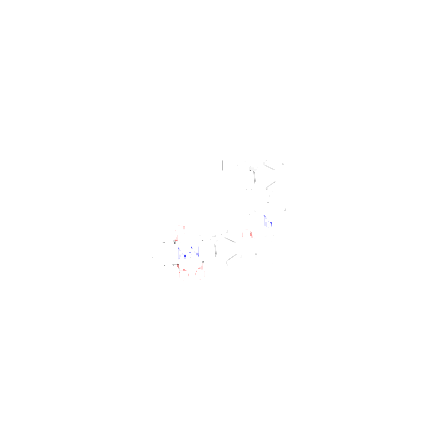 O=C1c2ccc(O[C@@H]3CCCC[C@H]3N3CC(c4cccc(C(F)(F)F)c4)C3)cc2CN1N1C(=O)CCCC1=O